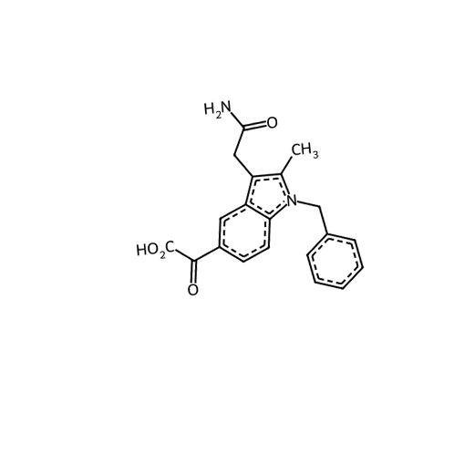 Cc1c(CC(N)=O)c2cc(C(=O)C(=O)O)ccc2n1Cc1ccccc1